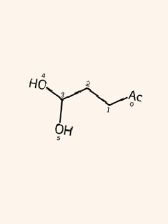 CC(=O)CCC(O)O